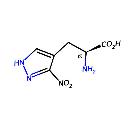 N[C@@H](Cc1c[nH]nc1[N+](=O)[O-])C(=O)O